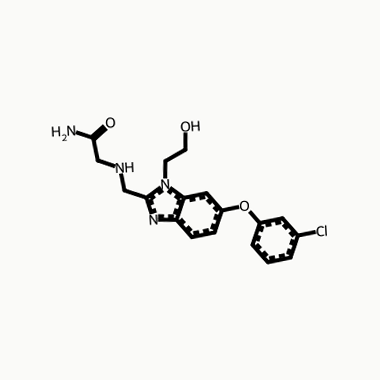 NC(=O)CNCc1nc2ccc(Oc3cccc(Cl)c3)cc2n1CCO